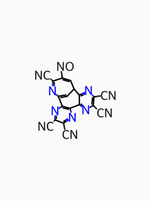 N#CC1=NC2=CC(C=C1N=O)c1nc(C#N)c(C#N)nc1-c1nc(C#N)c(C#N)nc12